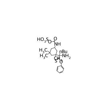 CCCCC(N)(C(=S)Oc1ccccc1)C1(C)CC(NC(=O)OS(=O)(=O)O)CC(C)(C)C1